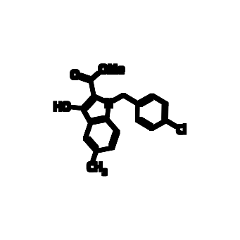 COC(=O)c1c(O)c2cc(C)ccc2n1Cc1ccc(Cl)cc1